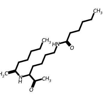 C=C(CCCCC)NC(CCCCNC(=O)CCCCC)C(C)=O